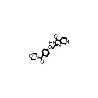 O=C(c1ccc(OCc2nc3cnccc3c(=O)[nH]2)cc1)N1CCOCC1